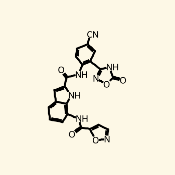 N#Cc1ccc(NC(=O)c2cc3cccc(NC(=O)c4ccno4)c3[nH]2)c(-c2noc(=O)[nH]2)c1